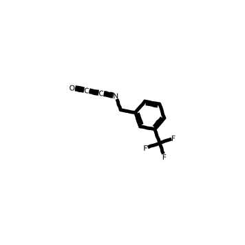 O=C=C=NCc1cccc(C(F)(F)F)c1